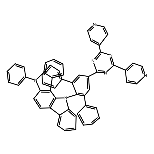 c1ccc(-c2cc(-c3nc(-c4ccncc4)nc(-c4ccncc4)n3)cc(-c3ccccc3)c2-n2c3ccccc3c3ccc4c(c5ccccc5n4-c4ccccc4)c32)cc1